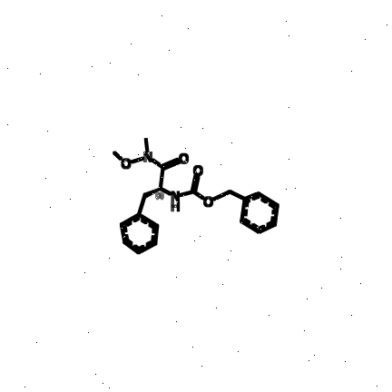 CON(C)C(=O)[C@H](Cc1ccccc1)NC(=O)OCc1ccccc1